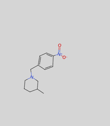 CC1CCCN(Cc2ccc([N+](=O)[O-])cc2)C1